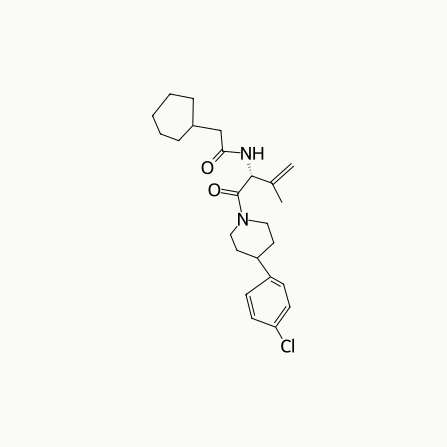 C=C(C)[C@@H](NC(=O)CC1CCCCC1)C(=O)N1CCC(c2ccc(Cl)cc2)CC1